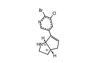 Clc1cc(C2=CC[C@@H]3CCN[C@H]23)cnc1Br